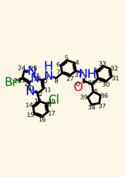 O=C(Nc1cccc(CNc2cc(-c3ccccc3Cl)nc3c(Br)cnn23)c1)C(c1ccccc1)C1CCCC1